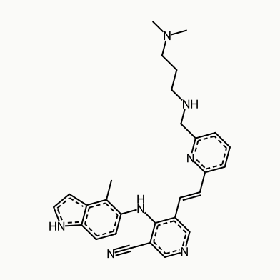 Cc1c(Nc2c(C#N)cncc2C=Cc2cccc(CNCCCN(C)C)n2)ccc2[nH]ccc12